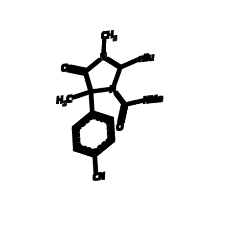 CCCCC1N(C)C(=O)C(C)(c2ccc(C#N)cc2)N1C(=O)NC